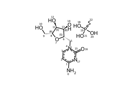 Nc1ccn(C[C@@H]2O[C@H](CO)[C@@H](O)[C@H]2O)c(=O)n1.OP(O)(O)=S